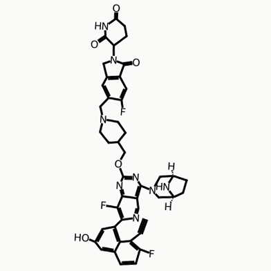 C#Cc1c(F)ccc2cc(O)cc(-c3ncc4c(N5C[C@H]6CC[C@@H](C5)N6)nc(OCC5CCN(Cc6cc7c(cc6F)C(=O)N(C6CCC(=O)NC6=O)C7)CC5)nc4c3F)c12